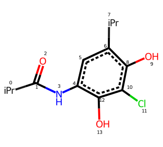 CC(C)C(=O)Nc1cc(C(C)C)c(O)c(Cl)c1O